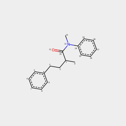 CC(CCc1ccccc1)C(=O)N(C)c1ccccc1